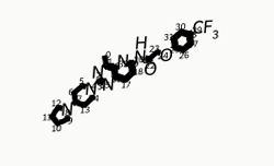 Cc1nc(N2CCC(N3CCCC3)CC2)nc2ccc(NC(=O)COc3ccc(C(F)(F)F)cc3)nc12